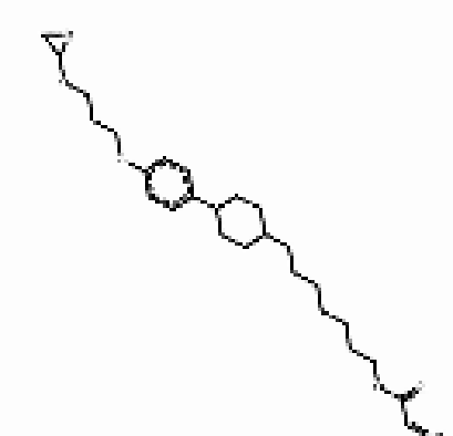 C=CC(=O)OCCCCCCCC1CCC(c2ccc(OCCCOC3CO3)cc2)CC1